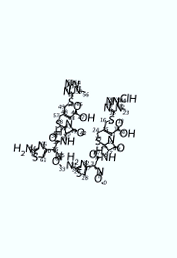 CON=C(C(=O)N[C@@H]1C(=O)N2C(C(=O)O)=C(CSc3nnnn3C)CS[C@H]12)c1csc(N)n1.CON=C(C(=O)N[C@@H]1C(=O)N2C(C(=O)O)=C(CSc3nnnn3C)CS[C@H]12)c1csc(N)n1.Cl